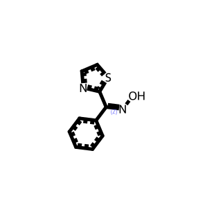 O/N=C(/c1ccccc1)c1nccs1